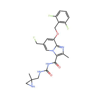 Cc1nc2c(OCc3c(F)cccc3F)cc(CF)cn2c1C(=O)NC(=O)NCC1(C)CN1